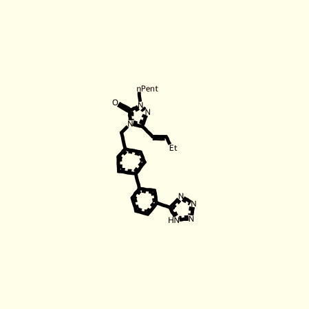 CCC=Cc1nn(CCCCC)c(=O)n1Cc1ccc(-c2cccc(-c3nnn[nH]3)c2)cc1